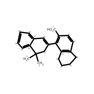 CC1(C)CC(c2c(C(=O)O)ccc3c2CCCC3)=Cc2ccccc21